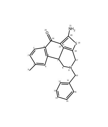 Cc1ccc2c(c1)C1CN(Cc3ccccc3)Cc3sc(N)c(c31)C2=O